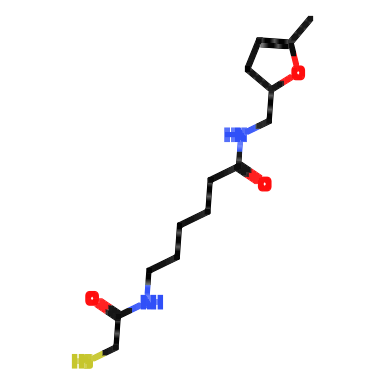 CC1=CCC(CNC(=O)CCCCCNC(=O)CS)O1